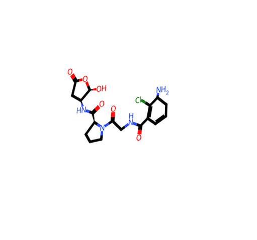 NC1CC=CC(C(=O)NCC(=O)N2CCC[C@H]2C(=O)N[C@H]2CC(=O)O[C@H]2O)=C1Cl